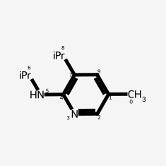 Cc1cnc(NC(C)C)c(C(C)C)c1